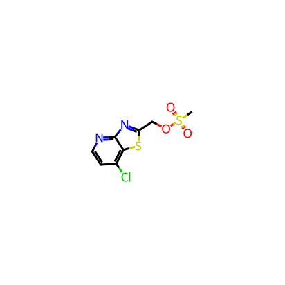 CS(=O)(=O)OCc1nc2nccc(Cl)c2s1